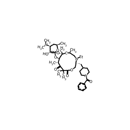 CCN1C[C@H](C)C[C@@](C)(OC)[C@H](O[C@@H]2O[C@H](C)C[C@H](N(C)C)[C@H]2O)[C@@H](C)C(=O)C(C)(C)C(=O)OC[C@H]1CC1CCN(C(=O)c2ccccc2)CC1